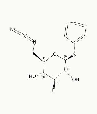 [N-]=[N+]=NC[C@H]1O[C@@H](Sc2ccccc2)[C@H](O)[C@@H](F)[C@@H]1O